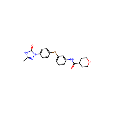 Cc1nn(-c2ccc(Sc3cccc(NC(=O)C4CCOCC4)c3)cc2)c(=O)[nH]1